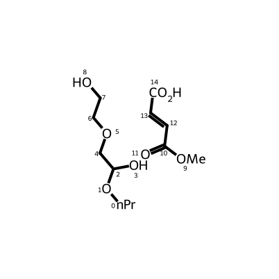 CCCOC(O)COCCO.COC(=O)C=CC(=O)O